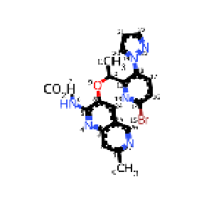 Cc1cc2nc(NC(=O)O)c(OC(C)c3nc(Br)ccc3-n3cccn3)cc2cn1